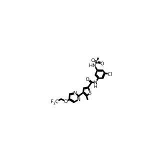 Cc1sc(C(=O)Nc2cc(Cl)cc(NS(C)(=O)=O)c2)cc1-c1ncc(OCC(F)(F)F)cn1